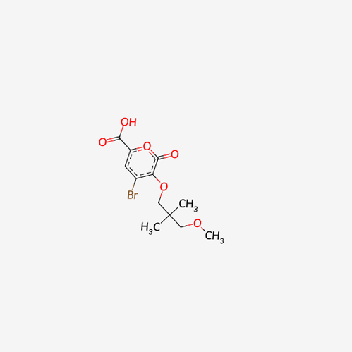 COCC(C)(C)COc1c(Br)cc(C(=O)O)oc1=O